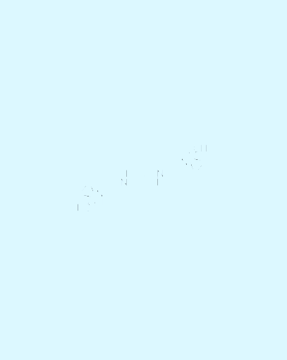 COc1ccccc1NCCCCNCCCCCCNCCCCNc1ccccc1OC